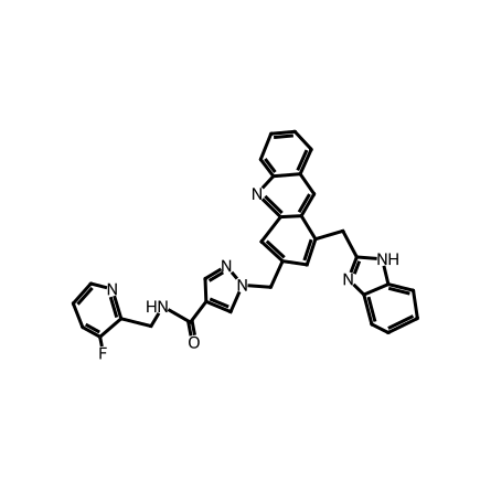 O=C(NCc1ncccc1F)c1cnn(Cc2cc(Cc3nc4ccccc4[nH]3)c3cc4ccccc4nc3c2)c1